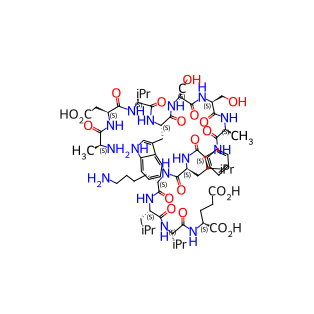 CC(C)C[C@H](NC(=O)[C@H](C)NC(=O)[C@H](CO)NC(=O)[C@H](CO)NC(=O)[C@H](Cc1c[nH]c2ccccc12)NC(=O)[C@@H](NC(=O)[C@H](CC(=O)O)NC(=O)[C@H](C)N)C(C)C)C(=O)N[C@@H](Cc1ccccc1)C(=O)N[C@@H](CCCCN)C(=O)N[C@@H](CC(C)C)C(=O)N[C@H](C(=O)N[C@@H](CCC(=O)O)C(=O)O)C(C)C